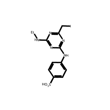 CCNc1nc(CI)nc(Nc2ccc(S(=O)(=O)O)cc2)n1